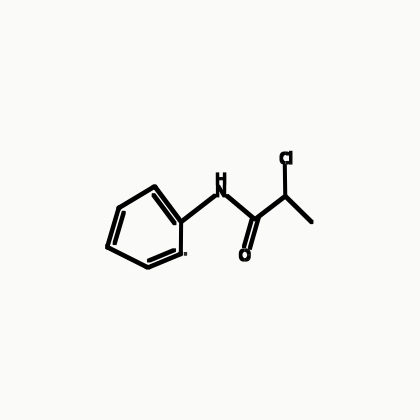 CC(Cl)C(=O)Nc1[c]cccc1